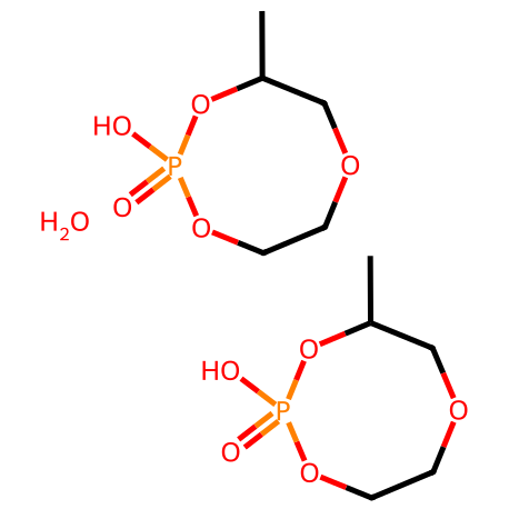 CC1COCCOP(=O)(O)O1.CC1COCCOP(=O)(O)O1.O